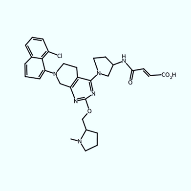 CN1CCCC1COc1nc2c(c(N3CCC(NC(=O)/C=C/C(=O)O)C3)n1)CCN(c1cccc3cccc(Cl)c13)C2